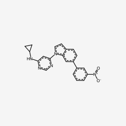 O=[N+]([O-])c1cccc(-c2ccc3ccn(-c4cc(NC5CC5)ncn4)c3c2)c1